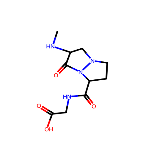 CNC1CN2CCC(C(=O)NCC(=O)O)N2C1=O